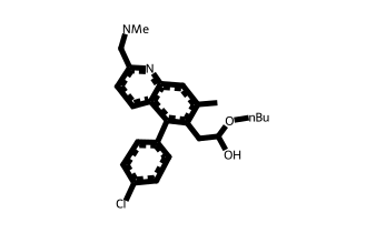 CCCCOC(O)Cc1c(C)cc2nc(CNC)ccc2c1-c1ccc(Cl)cc1